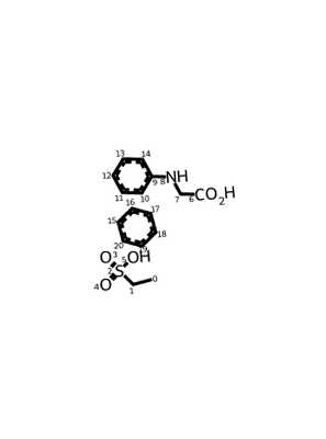 CCS(=O)(=O)O.O=C(O)CNc1ccccc1.c1ccccc1